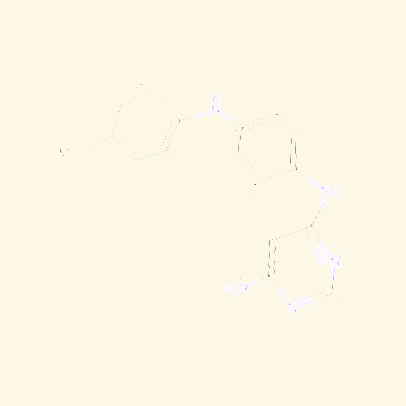 COc1ccc(Nc2ccc(Nc3cc(N)ncn3)cc2)cc1